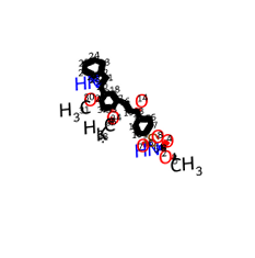 CCOC(=O)NS(=O)(=O)c1ccc(C(=O)C=Cc2cc(-c3cc4ccccc4[nH]3)c(OC)cc2OC)cc1.[K]